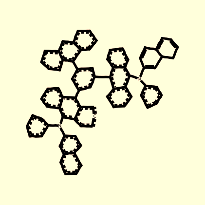 C1=CCC2C=C(N(c3ccccc3)c3c4ccccc4c(-c4cc(-c5c6ccccc6cc6ccccc56)cc(-c5c6ccccc6c(N(c6ccccc6)c6ccc7ccccc7c6)c6ccccc56)c4)c4ccccc34)C=CC2=C1